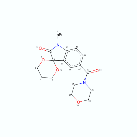 CCCCN1C(=O)C2(OCCCO2)c2cc(C(=O)N3CCOCC3)ccc21